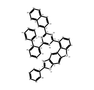 c1ccc(-c2nc3cc4c(cc3o2)oc2cccc(-c3nc(-c5ccc6ccccc6c5)nc(-c5ccccc5-c5ccccc5)n3)c24)cc1